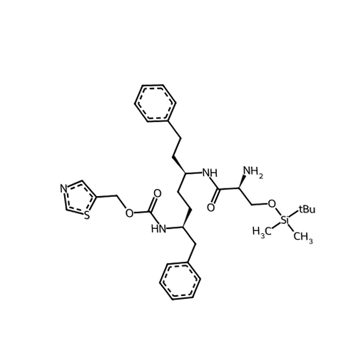 CC(C)(C)[Si](C)(C)OC[C@H](N)C(=O)N[C@H](CCc1ccccc1)CC[C@@H](Cc1ccccc1)NC(=O)OCc1cncs1